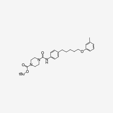 Cc1cccc(OCCCCCc2ccc(NC(=O)N3CCN(C(=O)OC(C)(C)C)CC3)cc2)c1